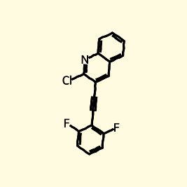 Fc1cccc(F)c1C#Cc1cc2ccccc2nc1Cl